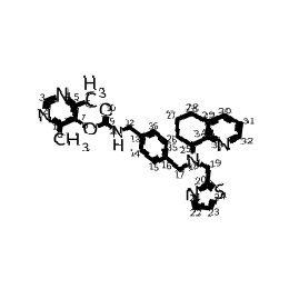 Cc1ncnc(C)c1OC(=O)NCc1ccc(CN(Cc2nccs2)C2CCCc3cccnc32)cc1